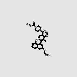 COCOc1cc(-c2ncc3c(N4CCN(C(=O)OC(C)(C)C)CC4)ncnc3c2F)c2c(Cl)cccc2c1